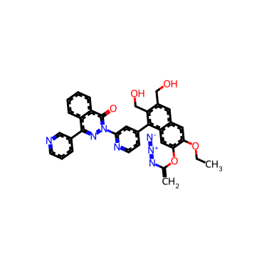 C=C(N=[N+]=[N-])Oc1cc2c(-c3ccnc(-n4nc(-c5cccnc5)c5ccccc5c4=O)c3)c(CO)c(CO)cc2cc1OCC